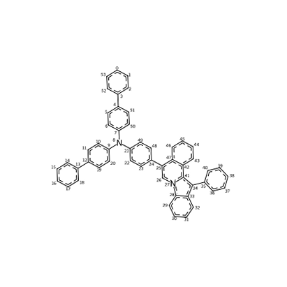 c1ccc(-c2ccc(N(c3ccc(-c4ccccc4)cc3)c3ccc(-c4cn5c6ccccc6c(-c6ccccc6)c5c5ccccc45)cc3)cc2)cc1